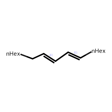 [CH2]CCCCCC/C=C/C=C/CCCCCC